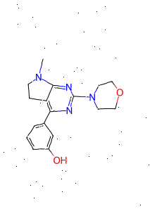 CN1CCc2c(-c3cccc(O)c3)nc(N3CCOCC3)nc21